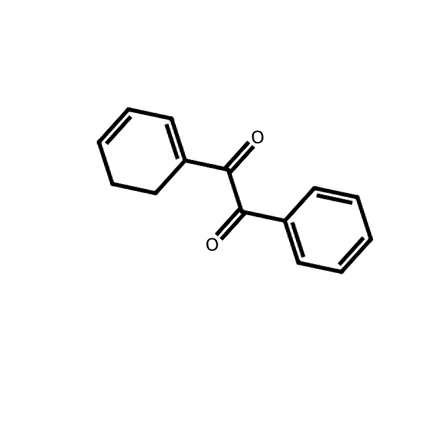 O=C(C(=O)c1ccccc1)C1=CC=CCC1